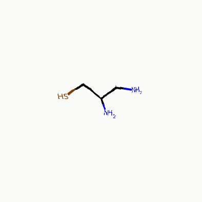 N[CH]C(N)CS